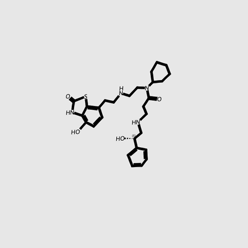 O=C(CCNC[C@@H](O)c1ccccc1)N(CCNCCc1ccc(O)c2[nH]c(=O)sc12)C1CCCCC1